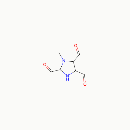 CN1C(C=O)NC(C=O)C1C=O